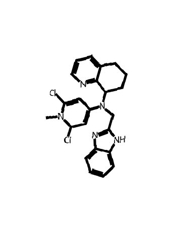 CN1C(Cl)=CC(N(Cc2nc3ccccc3[nH]2)C2CCCc3cccnc32)=CC1Cl